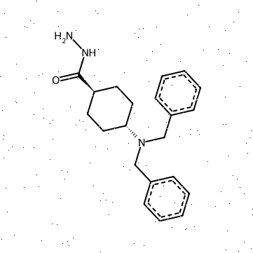 NNC(=O)[C@H]1CC[C@H](N(Cc2ccccc2)Cc2ccccc2)CC1